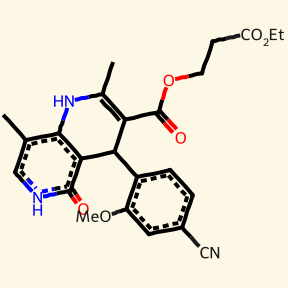 CCOC(=O)CCOC(=O)C1=C(C)Nc2c(C)c[nH]c(=O)c2C1c1ccc(C#N)cc1OC